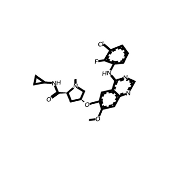 COc1cc2ncnc(Nc3cccc(Cl)c3F)c2cc1O[C@@H]1C[C@@H](C(=O)NC2CC2)N(C)C1